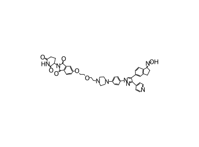 O=C1CCC(N2C(=O)c3ccc(OCCOCCN4CCN(c5ccc(-n6cc(-c7ccc8c(c7)CCC8=NO)c(-c7ccncc7)n6)cc5)CC4)cc3C2=O)C(=O)N1